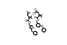 CC(C)=CC1C(C(=O)OCc2coc(Cc3ccccc3)c2)C1(C)C.CC1(C)C(C=C(Cl)Cl)C1C(=O)OCc1cccc(Oc2ccccc2)c1